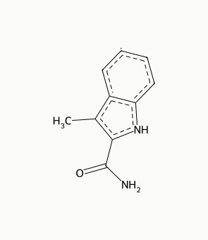 Cc1c(C(N)=O)[nH]c2cc[c]cc12